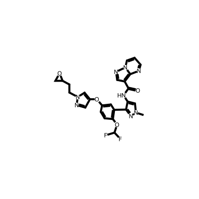 Cn1cc(NC(=O)c2cnn3cccnc23)c(-c2cc(Oc3cnn(CCC4CO4)c3)ccc2OC(F)F)n1